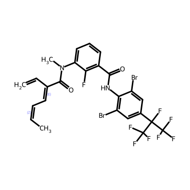 C=C/C(=C\C=C/C)C(=O)N(C)c1cccc(C(=O)Nc2c(Br)cc(C(F)(C(F)(F)F)C(F)(F)F)cc2Br)c1F